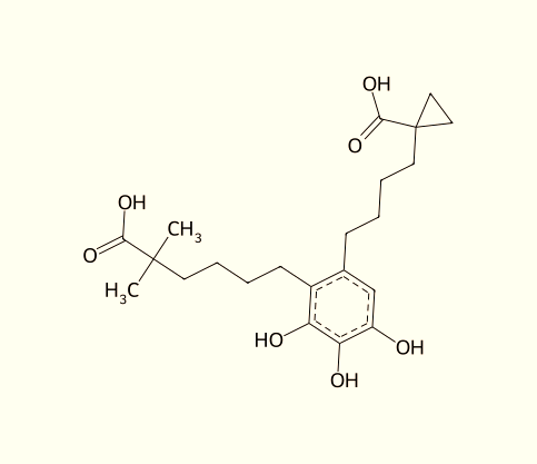 CC(C)(CCCCc1c(CCCCC2(C(=O)O)CC2)cc(O)c(O)c1O)C(=O)O